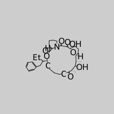 CCC(Cc1ccccc1)[C@@H]1CCCCCC(=O)[C@@H](C)[C@H](O)[C@@H](C)[C@@H]2CC[C@@H](C)[C@@](O)(O2)C(=O)C(=O)N2CCCC[C@H]2C(=O)O1